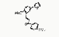 COc1ccc(C(=O)C=Cc2cc(-c3cccs3)ccc2OC)cc1